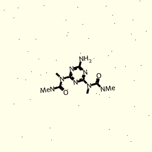 CNC(=O)N(C)c1nc(N)nc(N(C)C(=O)NC)n1